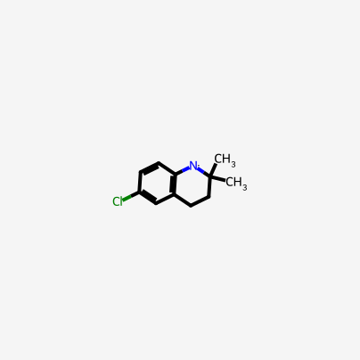 CC1(C)CCc2cc(Cl)ccc2[N]1